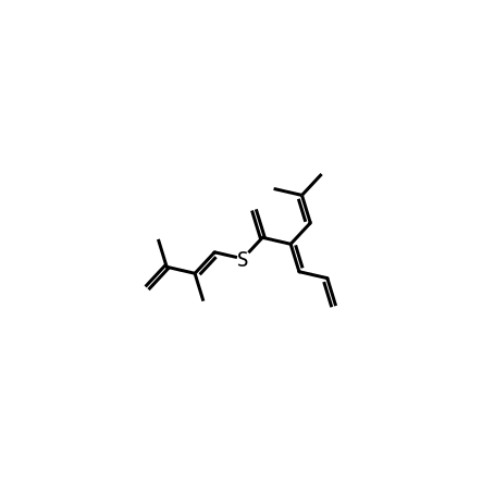 C=C/C=C(\C=C(C)C)C(=C)S/C=C(\C)C(=C)C